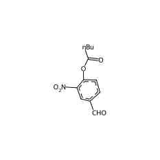 [CH2]CCCC(=O)Oc1ccc(C=O)cc1[N+](=O)[O-]